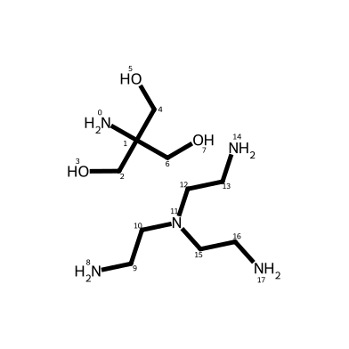 NC(CO)(CO)CO.NCCN(CCN)CCN